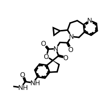 CNC(=O)Nc1ccc2c(c1)CC[C@]21OC(=O)N(CC(=O)N2Cc3cccnc3CCC2C2CC2)C1=O